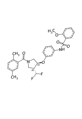 COc1ccccc1S(=O)(=O)Nc1cccc(O[C@@H]2CN(C(=O)c3cc(C)ccc3C)C[C@H]2C(F)F)c1